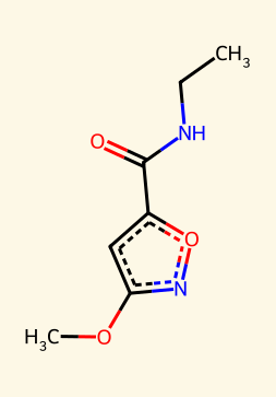 CCNC(=O)c1cc(OC)no1